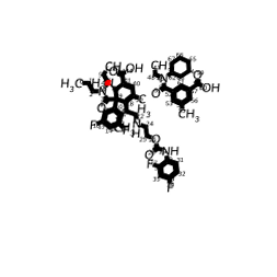 CCCN(CCC)C(=O)C1(c2cc(F)cc(F)c2)C([C@@H](CC)CNCCOC(=O)Nc2ccc(F)cc2F)=C(C)C=C(C(=O)O)[C@H]1N.CCN(C(=O)c1cc(C)cc(C(=O)O)c1)C1CCCCC1